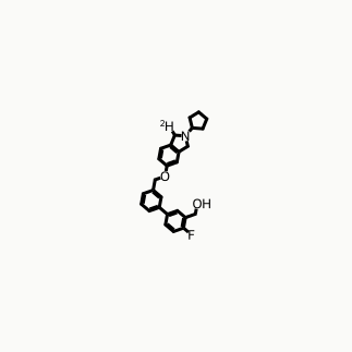 [2H]C1c2ccc(OCc3cccc(-c4ccc(F)c(CO)c4)c3)cc2CN1C1CCCC1